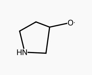 [O]C1CCNC1